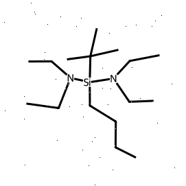 CCCC[Si](N(CC)CC)(N(CC)CC)C(C)(C)C